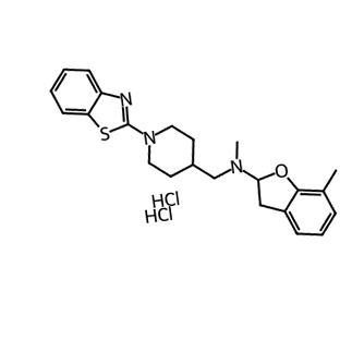 Cc1cccc2c1OC(N(C)CC1CCN(c3nc4ccccc4s3)CC1)C2.Cl.Cl